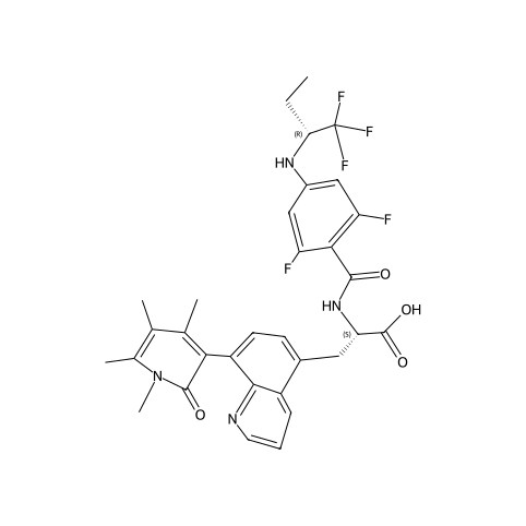 CC[C@@H](Nc1cc(F)c(C(=O)N[C@@H](Cc2ccc(-c3c(C)c(C)c(C)n(C)c3=O)c3ncccc23)C(=O)O)c(F)c1)C(F)(F)F